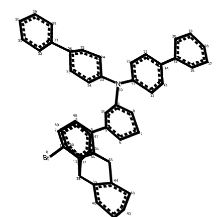 Brc1ccc(-c2cccc(N(c3ccc(-c4ccccc4)cc3)c3ccc(-c4ccccc4)cc3)c2)c2c1C1c3ccccc3C2c2ccccc21